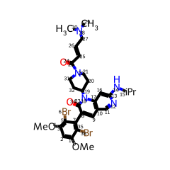 COc1cc(OC)c(Br)c(-c2cc3cnc(NC(C)C)cc3n(C3CCN(C(=O)C=CCN(C)C)CC3)c2=O)c1Br